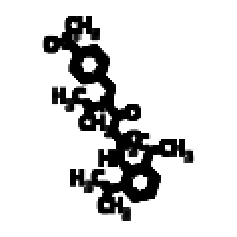 CC(C)c1cccc(C(C)C)c1NC(=O)CC(=O)N(Cc1ccc([S+](C)[O-])cc1)C(C)C